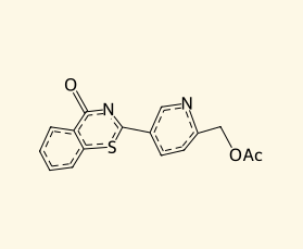 CC(=O)OCc1ccc(-c2nc(=O)c3ccccc3s2)cn1